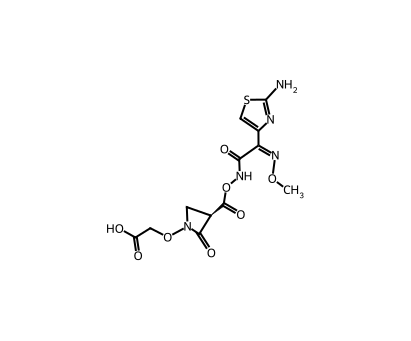 CON=C(C(=O)NOC(=O)[C@@H]1CN(OCC(=O)O)C1=O)c1csc(N)n1